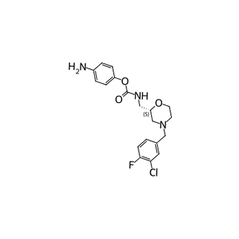 Nc1ccc(OC(=O)NC[C@H]2CN(Cc3ccc(F)c(Cl)c3)CCO2)cc1